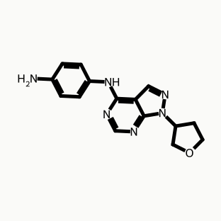 Nc1ccc(Nc2ncnc3c2cnn3C2CCOC2)cc1